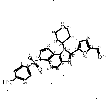 Cc1ccc(S(=O)(=O)n2ccc3c2ncc2nc(-c4ccc(C=O)o4)n(C4CCOCC4)c23)cc1